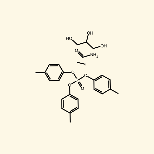 CI.Cc1ccc(OP(=O)(Oc2ccc(C)cc2)Oc2ccc(C)cc2)cc1.NC=O.OCC(O)CO